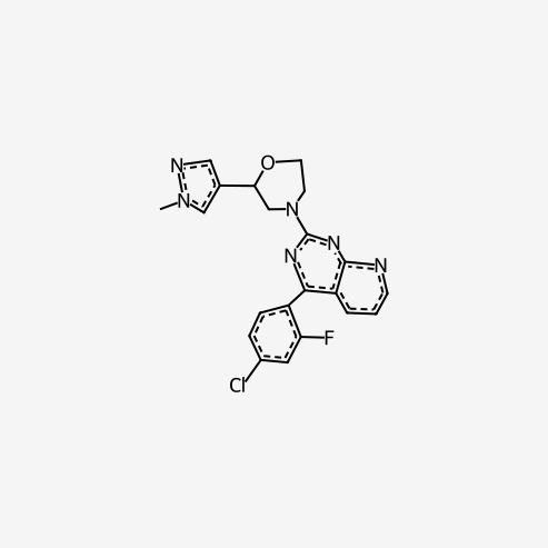 Cn1cc(C2CN(c3nc(-c4ccc(Cl)cc4F)c4cccnc4n3)CCO2)cn1